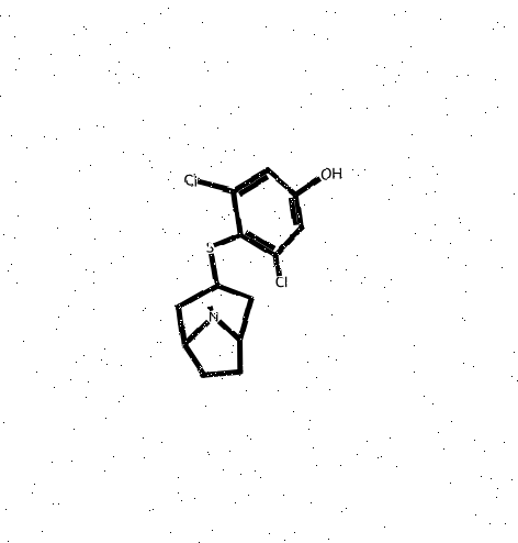 CN1C2CCC1CC(Sc1c(Cl)cc(O)cc1Cl)C2